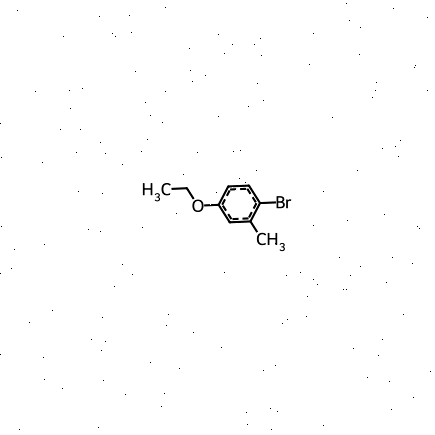 CCOc1ccc(Br)c(C)c1